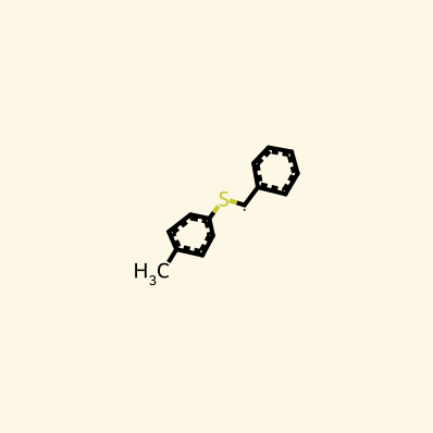 Cc1ccc(S[CH]c2ccccc2)cc1